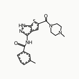 Cc1cccc(C(=O)Nc2n[nH]c3sc(C(=O)N4CCN(C)CC4)cc23)c1